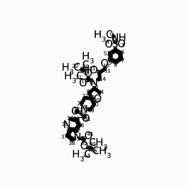 CNS(=O)(=O)c1cccc(OCC(O)CN(C(=O)OC(C)(C)C)C2COC3(CCN(S(=O)(=O)c4cnc5ccn(C(=O)OC(C)(C)C)c5c4)CC3)C2)c1